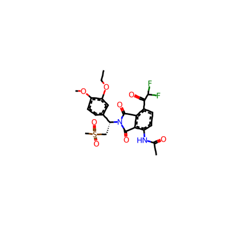 CCOc1cc([C@@H](CS(C)(=O)=O)N2C(=O)c3c(NC(C)=O)ccc(C(=O)C(F)F)c3C2=O)ccc1OC